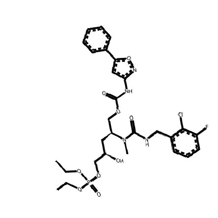 CCOP(=O)(OCC)OC[C@H](O)C[C@@H](COC(=O)Nc1cc(-c2ccccc2)on1)N(C)C(=O)NCc1cccc(F)c1Cl